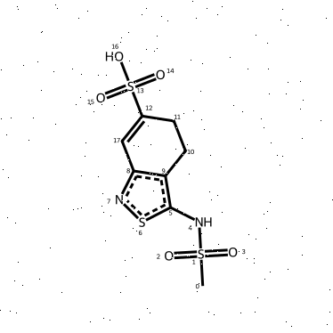 CS(=O)(=O)Nc1snc2c1CCC(S(=O)(=O)O)=C2